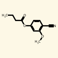 CCCC(=O)Oc1ccc(C#N)c(OC)c1